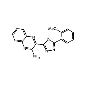 COc1ccccc1-c1nnc(-c2nc3ccccc3nc2N)o1